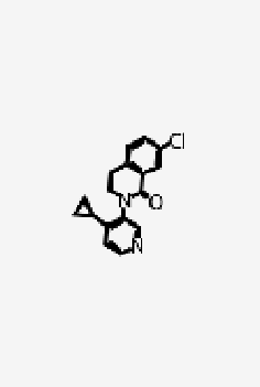 O=C1c2cc(Cl)ccc2CCN1c1cnccc1C1CC1